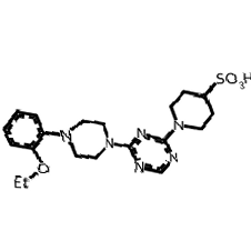 CCOc1ccccc1N1CCN(c2ncnc(N3CCC(S(=O)(=O)O)CC3)n2)CC1